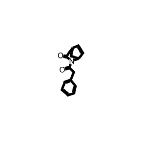 O=C(Cc1ccccc1)N1C(=O)C2C=CC1C2